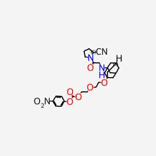 N#C[C@@H]1CCCN1C(=O)CNC12CC3C[C@@H](C1)CC(OCCOCCOC(=O)Oc1ccc([N+](=O)[O-])cc1)(C3)C2